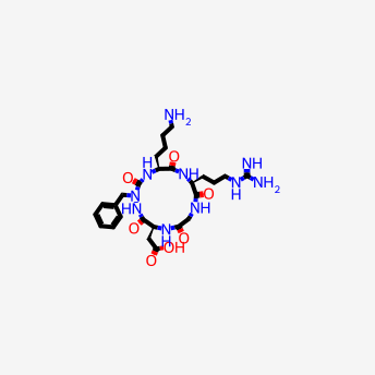 N=C(N)NCCC[C@@H]1NC(=O)[C@H](CCCCN)NC(=O)N(Cc2ccccc2)NC(=O)[C@H](CC(=O)O)NC(=O)CNC1=O